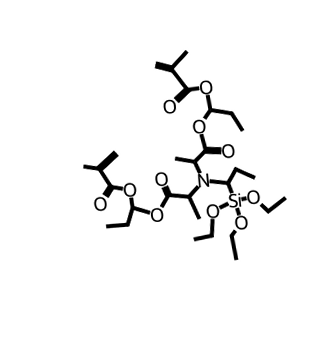 C=C(C)C(=O)OC(CC)OC(=O)C(C)N(C(C)C(=O)OC(CC)OC(=O)C(=C)C)C(CC)[Si](OCC)(OCC)OCC